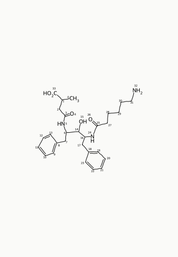 CC(CC(=O)NC(Cc1ccccc1)C(O)C(Cc1ccccc1)NC(=O)CCCCCN)C(=O)O